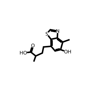 Cc1c(O)cc(CCC(C)C(=O)O)c2scnc12